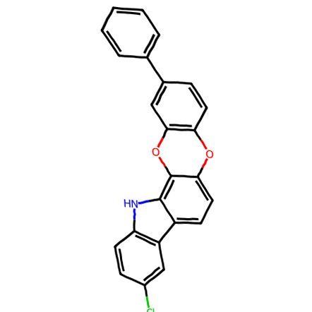 Clc1ccc2[nH]c3c4c(ccc3c2c1)Oc1ccc(-c2ccccc2)cc1O4